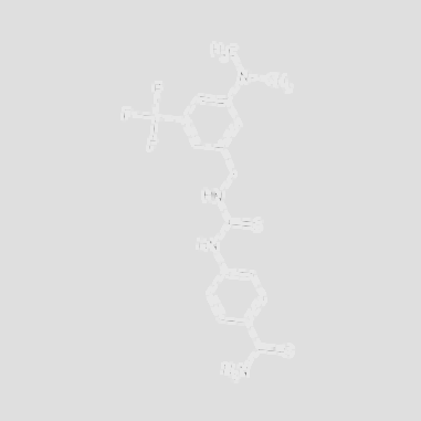 CN(C)c1cc(CNC(=S)Nc2ccc(C(N)=O)cc2)cc(C(F)(F)F)c1